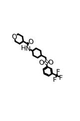 O=C(NC1CCC(CS(=O)(=O)c2cccc(C(F)(F)F)c2)CC1)C1CCOCC1